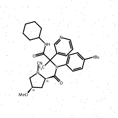 CO[C@@H]1C[C@H](C(=O)N(c2ccc(C(C)(C)C)cc2)C(C)(C(=O)NC2CCCCC2)c2cccnc2)N(C#N)C1